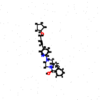 O=C(c1ccccc1C(F)(F)F)N1CCN(c2ccc(C#CCOC3CCCC3)cn2)CC1